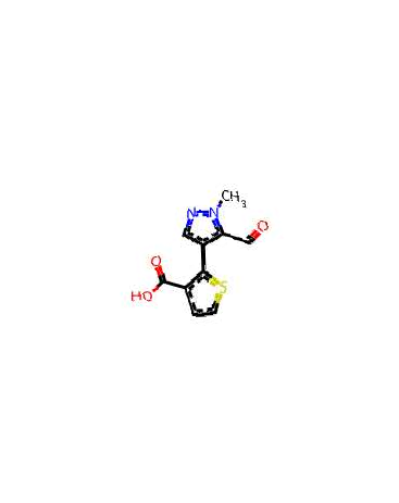 Cn1ncc(-c2sccc2C(=O)O)c1C=O